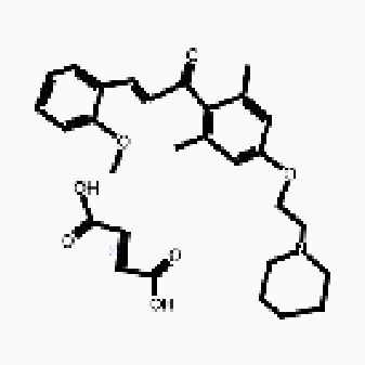 COc1ccccc1C=CC(=O)c1c(C)cc(OCCN2CCCCC2)cc1C.O=C(O)/C=C/C(=O)O